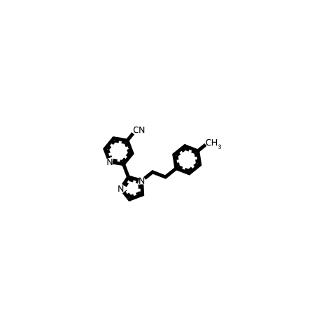 Cc1ccc(CCn2ccnc2-c2cc(C#N)ccn2)cc1